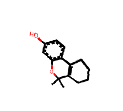 CC1(C)Oc2cc(O)ccc2C2=C1CCCC2